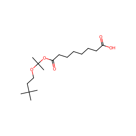 CC(C)(C)CCOC(C)(C)OC(=O)CCCCCCC(=O)O